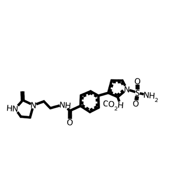 C=C1NCCN1CCNC(=O)c1ccc(-c2ccn(S(N)(=O)=O)c2C(=O)O)cc1